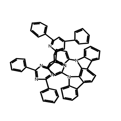 c1ccc(-c2cc(-c3ccccc3)nc(-c3cccc(-n4c5ccccc5c5ccc6c7ccccc7n(-c7cccc(-c8nc(-c9ccccc9)nc(-c9ccccc9)n8)n7)c6c54)n3)c2)cc1